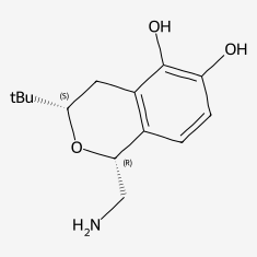 CC(C)(C)[C@@H]1Cc2c(ccc(O)c2O)[C@H](CN)O1